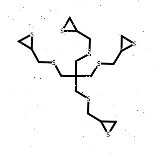 C(SCC(CSCC1CS1)(CSCC1CS1)CSCC1CS1)C1CS1